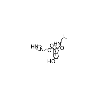 CC(C)CCNC(=O)[C@](C)(Cc1ccc(O)cc1)NC(=O)OCCN1CCNCC1